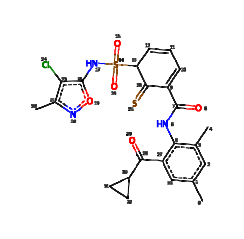 Cc1cc(C)c(NC(=O)C2=CC=CC(S(=O)(=O)Nc3onc(C)c3Cl)C2=S)c(C(=O)C2CC2)c1